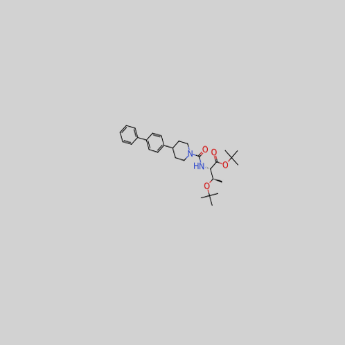 C[C@@H](OC(C)(C)C)[C@H](NC(=O)N1CCC(c2ccc(-c3ccccc3)cc2)CC1)C(=O)OC(C)(C)C